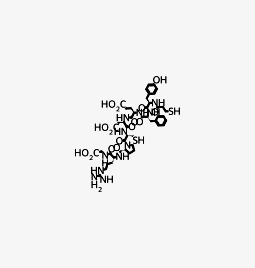 N=C(N)NCCC[C@@H](NC(=O)[C@H]1CCCN1C(=O)[C@@H](CS)NC(=O)[C@@H](CC(=O)O)NC(=O)[C@@H](CCC(=O)O)NC(=O)[C@@H](Cc1ccccc1)NC(=O)[C@@H](Cc1ccc(O)cc1)NC(=O)CCS)C(=O)NCC(=O)O